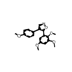 COc1ccc(-c2cnoc2-c2cc(OC)cc(OC)c2OC)cc1